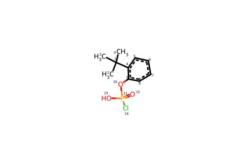 CC(C)(C)c1ccccc1OP(=O)(O)Cl